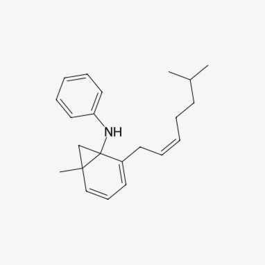 CC(C)CC/C=C\CC1=CC=CC2(C)CC12Nc1ccccc1